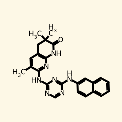 Cc1cc2c(nc1Nc1ncnc(Nc3ccc4ccccc4c3)n1)NC(=O)C(C)(C)C2